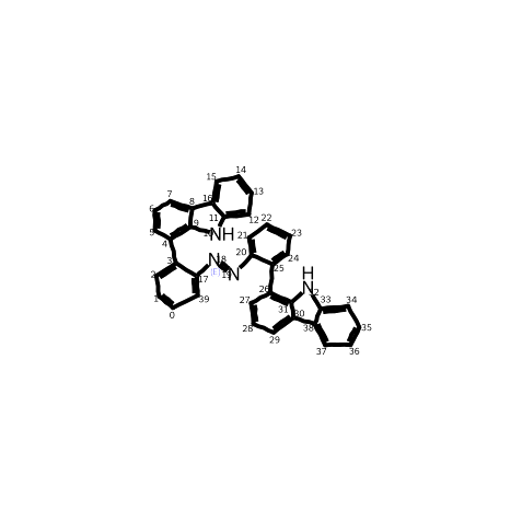 c1ccc(-c2cccc3c2[nH]c2ccccc23)c(/N=N/c2ccccc2-c2cccc3c2[nH]c2ccccc23)c1